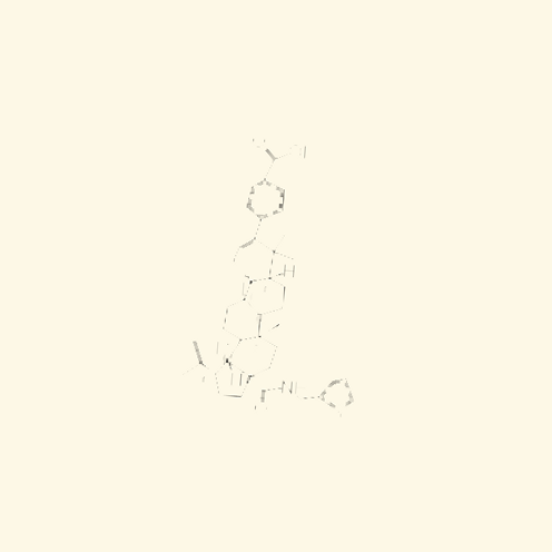 C=C(C)[C@@H]1CC[C@]2(C(=O)NCc3cccs3)CC[C@]3(C)[C@H](CC[C@@H]4[C@@]5(C)CC=C(c6ccc(C(=O)O)cc6)C(C)(C)[C@@H]5CC[C@]43C)[C@@H]12